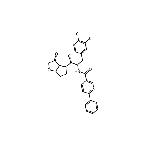 O=C(NC(Cc1ccc(Cl)c(Cl)c1)C(=O)N1CCC2OCC(=O)C21)c1ccc(-c2ccccc2)nc1